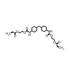 C=CC(=O)OCCOC(=O)NC1CCC(CC2CCC(NC(=O)OCCOC(=O)C=C)CC2)CC1